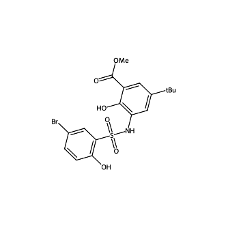 COC(=O)c1cc(C(C)(C)C)cc(NS(=O)(=O)c2cc(Br)ccc2O)c1O